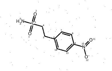 NS(=O)(=O)CCc1ccc([N+](=O)[O-])cc1